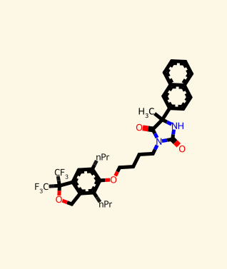 CCCc1cc2c(c(CCC)c1OCCCCN1C(=O)NC(C)(c3ccc4ccccc4c3)C1=O)COC2(C(F)(F)F)C(F)(F)F